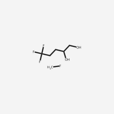 CF.OCC(O)CCC(F)(F)F